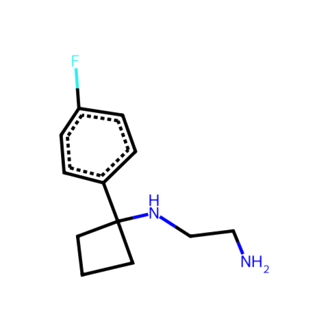 NCCNC1(c2ccc(F)cc2)CCC1